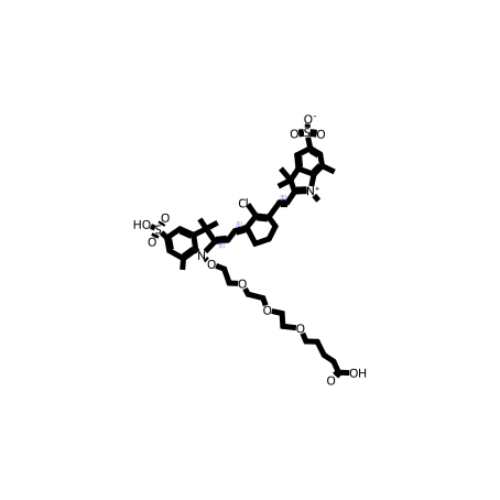 Cc1cc(S(=O)(=O)O)cc2c1N(OCCOCCOCCOCCCCC(=O)O)/C(=C/C=C1\CCCC(/C=C/C3=[N+](C)c4c(C)cc(S(=O)(=O)[O-])cc4C3(C)C)=C1Cl)C2(C)C